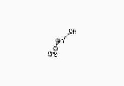 O=C(/C=C/c1ccc(C(=O)c2ccccc2)cc1)OCCCCCCO